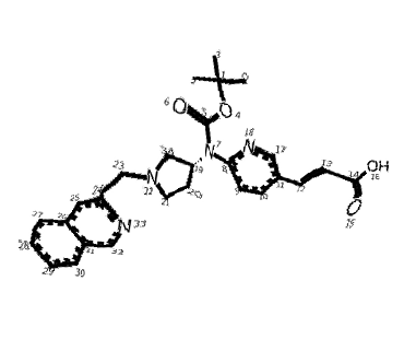 CC(C)(C)OC(=O)N(c1ccc(/C=C/C(=O)O)cn1)[C@@H]1CCN(Cc2cc3ccccc3cn2)C1